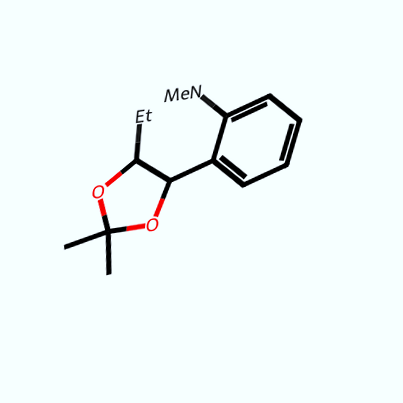 [CH2]CC1OC(C)(C)OC1c1ccccc1NC